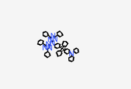 c1ccc(-c2nc(-c3ccccc3)nc(N(c3ccc([Si](c4ccccc4)(c4ccccc4)c4ccc(N(c5ccccc5)c5ccccc5)cc4)cc3)c3nc(-c4ccccc4)nc(-c4ccccc4)n3)n2)cc1